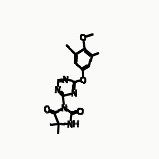 COc1c(C)cc(Oc2ncnc(N3C(=O)NC(C)(C)C3=O)n2)cc1C